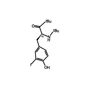 CC(C)(C)N[C@@H](Cc1ccc(O)c(I)c1)C(=O)C(C)(C)C